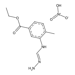 CCOC(=O)c1ccc(C)c(NC=NN)c1.O=[N+]([O-])O